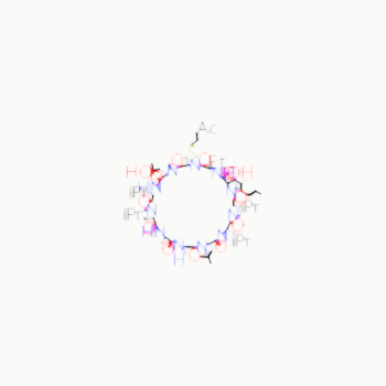 C/C=C/C[C@@H](C)[C@@H](O)[C@H]1C(=O)N[C@@H](CC)C(=O)N(C)[C@H](CSCCCC(C)=O)C(=O)N(C)[C@@H](CC(C)(C)O)C(=O)N[C@H](C(C)C)C(=O)N(C)[C@H](CC(C)C)C(=O)N[C@H](C)C(=O)N[C@@H](C)C(=O)N(C)[C@@H](C=C(C)C)C(=O)N(C)[C@@H](CC(C)C)C(=O)N(C)[C@@H](C(C)C)C(=O)N1C